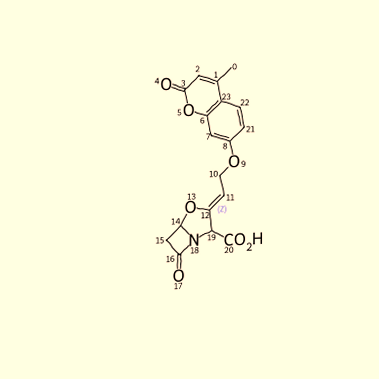 Cc1cc(=O)oc2cc(OC/C=C3\OC4CC(=O)N4C3C(=O)O)ccc12